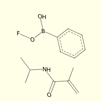 C=C(C)C(=O)NC(C)C.OB(OF)c1ccccc1